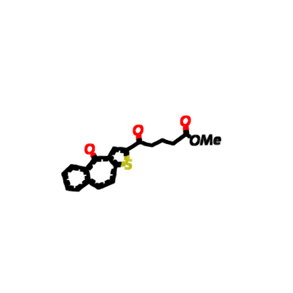 COC(=O)CCCC(=O)c1cc2c(=O)c3ccccc3ccc2s1